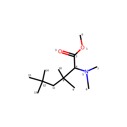 COC(=O)C(N(C)C)C(C)(C)CC(C)(C)C